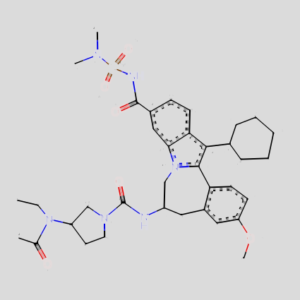 CCN(C(C)=O)C1CCN(C(=O)NC2Cc3cc(OC)ccc3-c3c(C4CCCCC4)c4ccc(C(=O)NS(=O)(=O)N(C)C)cc4n3C2)C1